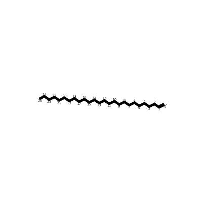 [CH]=CCCCCCCCCCCCCCCCCCCCCCCC[CH2]